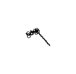 CCCCCCCCCCCCCCCCOP(=O)(O)OCC[N+]1(C)CCCC(C(=O)OCC)C1